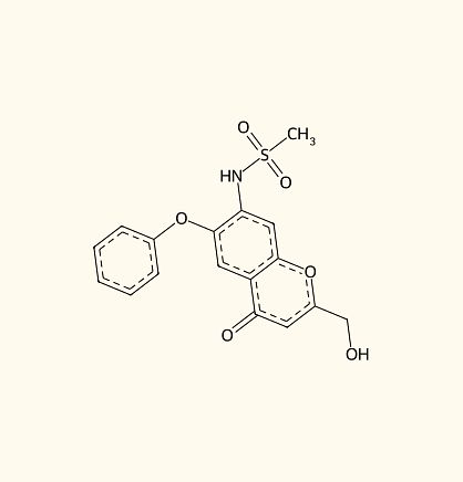 CS(=O)(=O)Nc1cc2oc(CO)cc(=O)c2cc1Oc1ccccc1